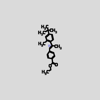 CCOC(=O)c1ccc(/C=C(\C)c2ccc(C(C)(C)C)cc2C)cc1